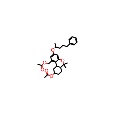 CC(=O)OCc1cc(OC(C)CCCc2ccccc2)cc2c1C1CC(OC(C)=O)CCC1C(C)(C)O2